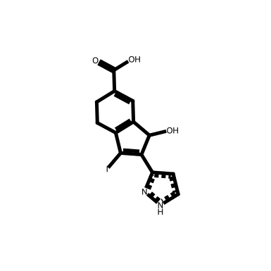 O=C(O)C1=CC2=C(CC1)C(I)=C(c1cc[nH]n1)C2O